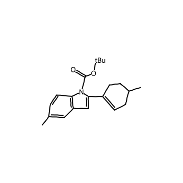 Cc1ccc2c(c1)cc(C1=CCC(C)CC1)n2C(=O)OC(C)(C)C